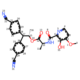 COc1ccnc(C(=O)N[C@@H](C)C(=O)O[C@@H](C)C(c2ccc(C#N)cc2)c2ccc(C#N)cc2)c1O